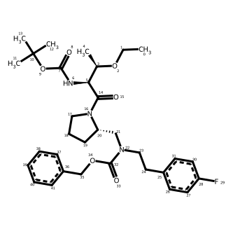 CCO[C@H](C)[C@H](NC(=O)OC(C)(C)C)C(=O)N1CCC[C@H]1CN(CCc1ccc(F)cc1)C(=O)OCc1ccccc1